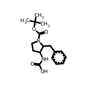 CC(C)(C)OC(=O)N1CCC(NC(=O)O)C1Cc1ccccc1